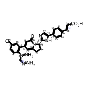 N/N=C\N(N)c1ccc(Cl)cc1-c1cc2n(c(=O)c1)[C@H](c1ncc(-c3ccc(/C=C/C(=O)O)cc3)[nH]1)CC2